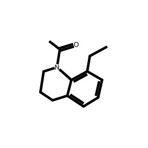 CCc1cccc2c1N(C(C)=O)CCC2